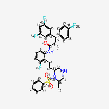 C[C@H](C(=O)Nc1cccc(F)c1CC[C@H]1CNC[C@@H](C)N1S(=O)(=O)c1ccccc1)[C@@H](c1ccc(F)cc1)c1cc(F)cc(F)c1